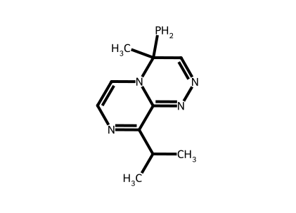 CC(C)C1=NC=CN2C1=NN=CC2(C)P